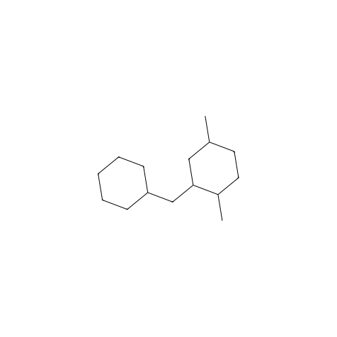 CC1CCC(C)C(CC2CCCCC2)C1